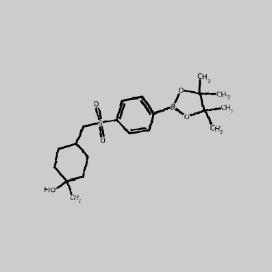 CC1(O)CCC(CS(=O)(=O)c2ccc(B3OC(C)(C)C(C)(C)O3)cc2)CC1